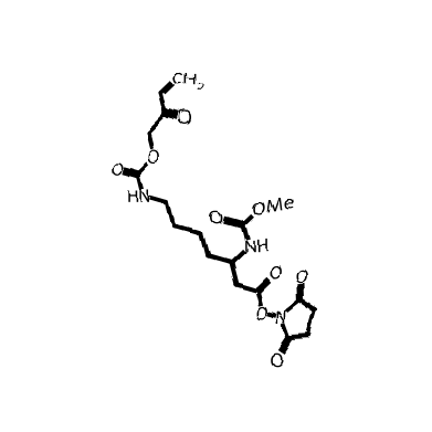 C=CC(=O)COC(=O)NCCCCC(CC(=O)ON1C(=O)CCC1=O)NC(=O)OC